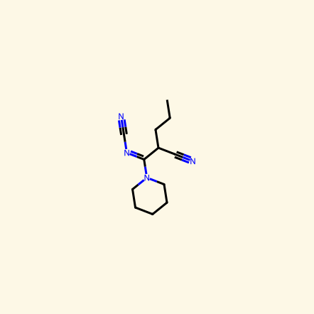 CCCC(C#N)C(=NC#N)N1CCCCC1